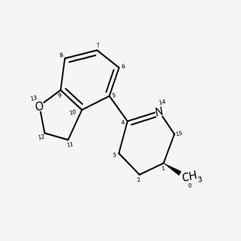 C[C@H]1CCC(c2cccc3c2CCO3)=NC1